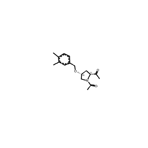 CC(=O)[C@@H]1C[C@@H](OCc2ccc(C)c(C)c2)CN1C(C)=O